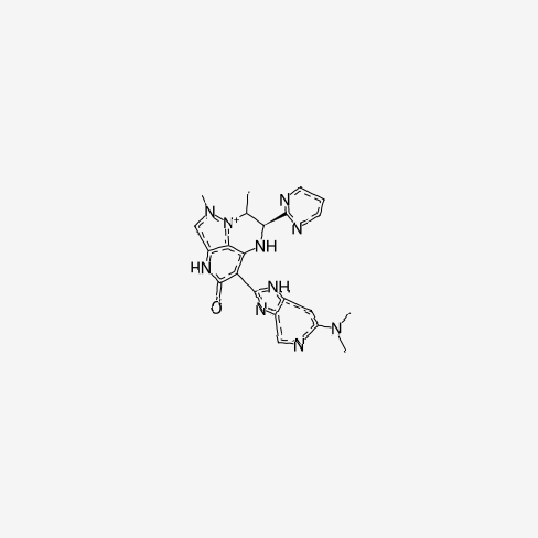 CC1[C@@H](c2ncccn2)Nc2c(-c3nc4cnc(N(C)C)cc4[nH]3)c(=O)[nH]c3cn(C)[n+]1c23